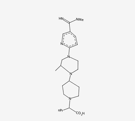 CCCC(C(=O)O)N1CCC(N2CCN(c3ccc(C(=N)NC)cn3)CC2C)CC1